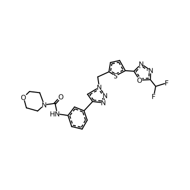 O=C(Nc1cccc(-c2cn(Cc3ccc(-c4nnc(C(F)F)o4)s3)nn2)c1)N1CCOCC1